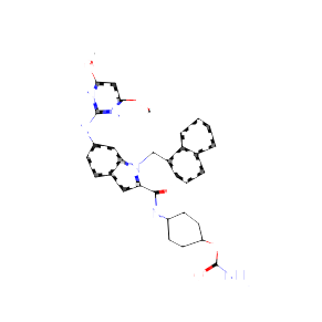 COc1cc(OC)nc(Nc2ccc3cc(C(=O)NC4CCC(OC(N)=O)CC4)n(Cc4cccc5ccccc45)c3c2)n1